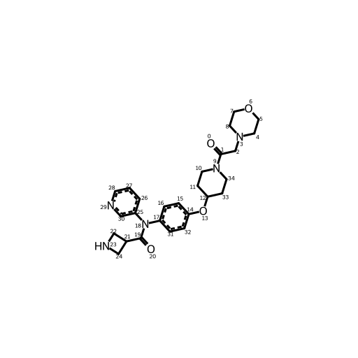 O=C(CN1CCOCC1)N1CCC(Oc2ccc(N(C(=O)C3CNC3)c3cccnc3)cc2)CC1